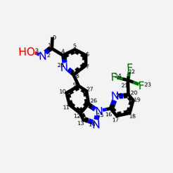 CC(=NO)c1cccc(-c2ccc3cnn(-c4cccc(C(F)(F)F)n4)c3c2)n1